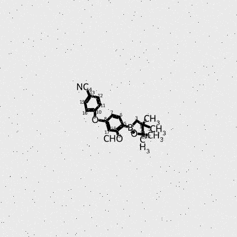 CC1(C)CB(c2ccc(Oc3ccc(C#N)cc3)cc2C=O)OC1(C)C